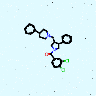 O=C(c1ccc(Cl)c(Cl)c1)N1CC(CN2CCC(c3ccccc3)CC2)C(c2ccccc2)C1